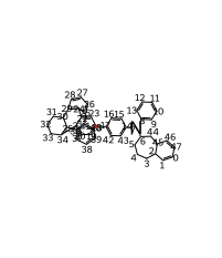 C1=CC2CCCC(N(c3ccccc3)c3ccc(-c4ccc5c(c4)-c4c6cccc4C4CCCC5C4c4ccccc4-6)cc3)CC2C=C1